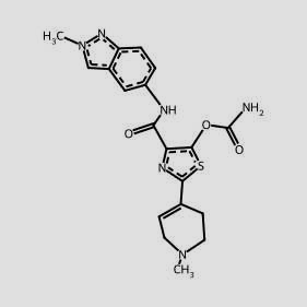 CN1CC=C(c2nc(C(=O)Nc3ccc4nn(C)cc4c3)c(OC(N)=O)s2)CC1